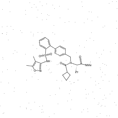 CNC(=O)[C@H](C(C)C)N(Cc1ccc(-c2ccccc2S(=O)(=O)Nc2noc(C)c2C)cc1)C(=O)C1CCC1